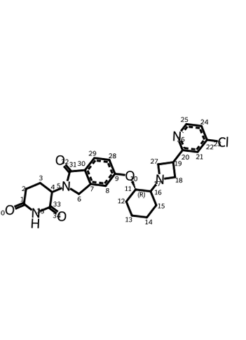 O=C1CCC(N2Cc3cc(O[C@@H]4CCCCC4N4CC(c5cc(Cl)ccn5)C4)ccc3C2=O)C(=O)N1